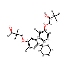 CC(=O)C(C)(C)COc1ccc(C2(c3ccc(OCC(=O)C(C)(C)C)c(C)c3)CCCCC2)cc1C